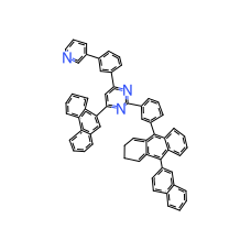 C1=c2c(-c3cccc(-c4nc(-c5cccc(-c6cccnc6)c5)cc(-c5cc6ccccc6c6ccccc56)n4)c3)c3ccccc3c(-c3ccc4ccccc4c3)c2=CCC1